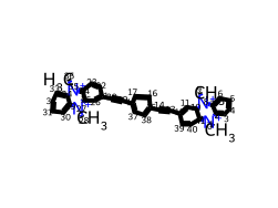 C[n+]1c2ccccc2[n+](C)c2cc(C#Cc3ccc(C#Cc4ccc5c(c4)[n+](C)c4ccccc4[n+]5C)cc3)ccc21